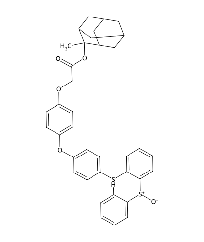 CC1(OC(=O)COc2ccc(Oc3ccc([SH]4c5ccccc5[S+]([O-])c5ccccc54)cc3)cc2)C2CC3CC(C2)CC1C3